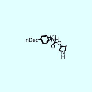 CCCCCCCCCCc1ccc(NC(=O)O[C@@H]2CCNC2)cc1.Cl